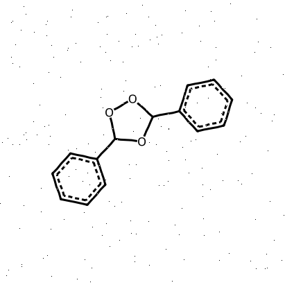 c1ccc(C2OOC(c3ccccc3)O2)cc1